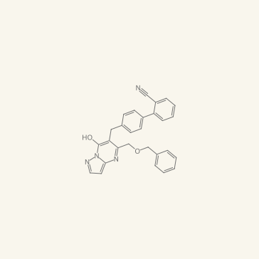 N#Cc1ccccc1-c1ccc(Cc2c(COCc3ccccc3)nc3ccnn3c2O)cc1